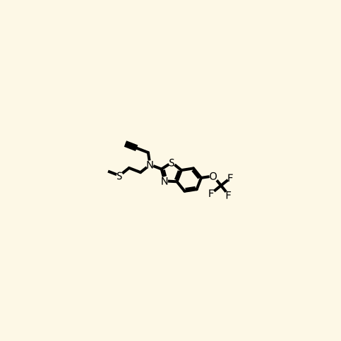 C#CCN(CCSC)c1nc2ccc(OC(F)(F)F)cc2s1